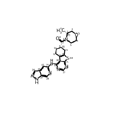 C[C@@H]1COCCN1C(=O)[C@H]1CCc2c(sc3ncnc(Nc4cc5cn[nH]c5cn4)c23)C1